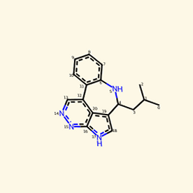 CC(C)CC1Nc2ccccc2-c2cnnc3[nH]cc1c23